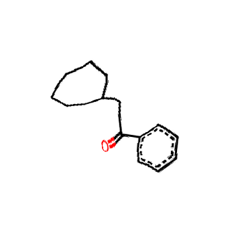 O=C(CC1CCCCCC1)c1ccccc1